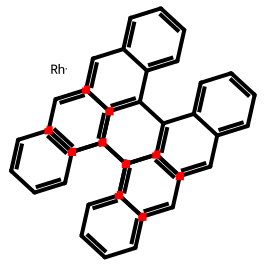 [Rh].c1ccc(P(c2ccccc2)c2ccc3ccccc3c2-c2c(P(c3ccccc3)c3ccccc3)ccc3ccccc23)cc1